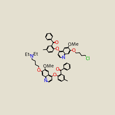 CCN(CC)CCCCOc1cc2nccc(Oc3ccc(C)cc3C(=O)c3ccccc3)c2cc1OC.COc1cc2c(Oc3ccc(C)cc3C(=O)c3ccccc3)ccnc2cc1OCCCCCl